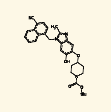 Cc1nc2cc(OC3CCN(C(=O)OC(C)(C)C)CC3)c(O)cc2n1Cc1ccc(C#N)c2ccccc12